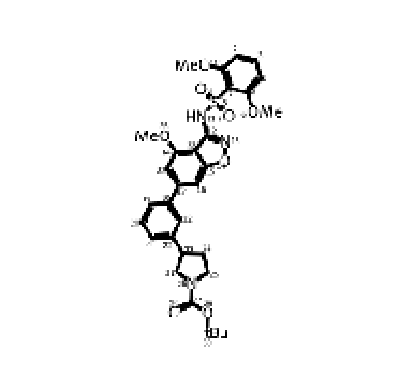 COc1cccc(OC)c1S(=O)(=O)Nc1noc2cc(-c3cccc(C4CCN(C(=O)OC(C)(C)C)C4)c3)cc(OC)c12